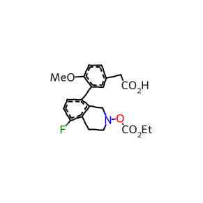 CCOC(=O)ON1CCc2c(F)ccc(-c3cc(CC(=O)O)ccc3OC)c2C1